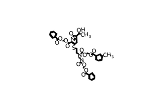 Cc1cccc(C(=O)OCOC(=O)N(/C=N/C(=O)OCOC(=O)c2ccccc2)CCSC2=C(C(=O)OCOC(=O)c3ccccc3)N3C(=O)C(C(C)O)C3C2)c1